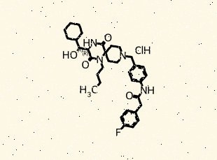 CCCCN1C(=O)[C@@H]([C@H](O)C2CCCCC2)NC(=O)C12CCN(Cc1ccc(NC(=O)Cc3ccc(F)cc3)cc1)CC2.Cl